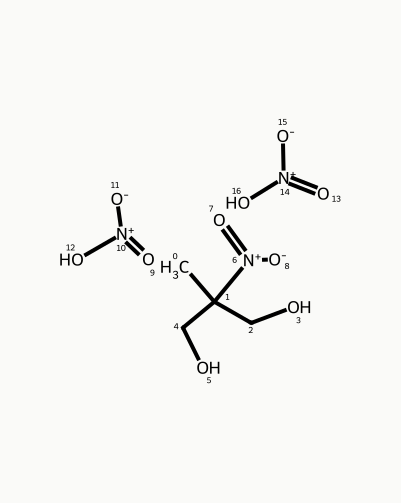 CC(CO)(CO)[N+](=O)[O-].O=[N+]([O-])O.O=[N+]([O-])O